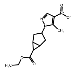 CCOC(=O)C1C2CC(n3ncc([N+](=O)[O-])c3C)CC21